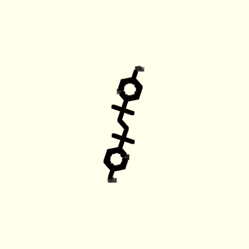 CC(C)(C)c1ccc(C(C)(C)CCC(C)(C)c2ccc(C(C)(C)C)cn2)nc1